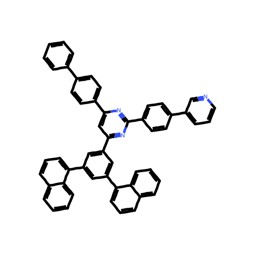 c1ccc(-c2ccc(-c3cc(-c4cc(-c5cccc6ccccc56)cc(-c5cccc6ccccc56)c4)nc(-c4ccc(-c5cccnc5)cc4)n3)cc2)cc1